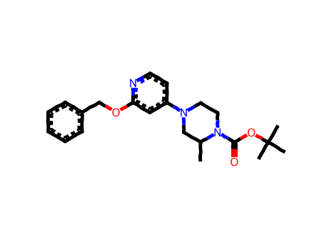 CC1CN(c2ccnc(OCc3ccccc3)c2)CCN1C(=O)OC(C)(C)C